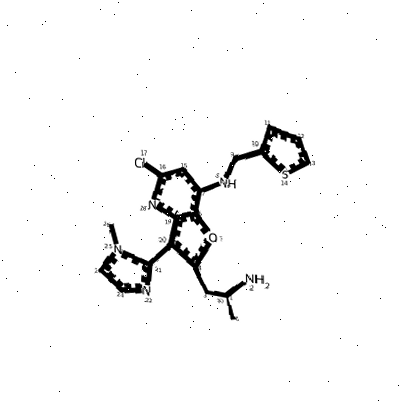 C[C@H](N)Cc1oc2c(NCc3cccs3)cc(Cl)nc2c1-c1nccn1C